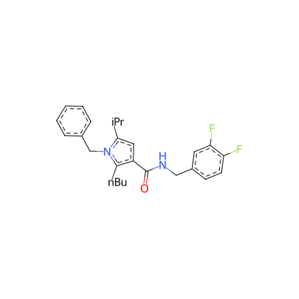 CCCCc1c(C(=O)NCc2ccc(F)c(F)c2)cc(C(C)C)n1Cc1ccccc1